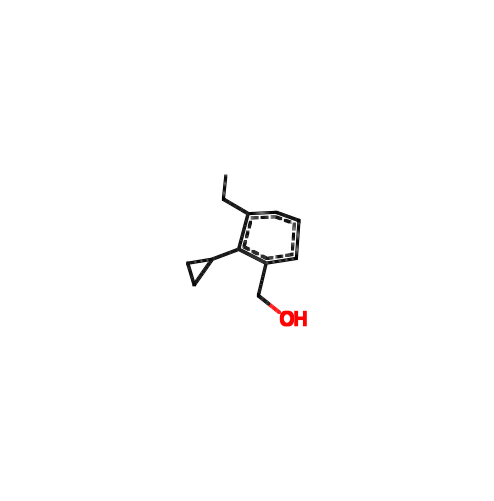 CCc1cccc(CO)c1C1CC1